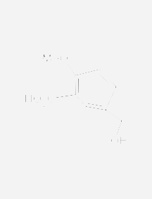 COc1ccc(CO)cc1C(=O)O